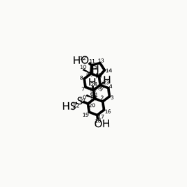 C[C@]12C(CC[C@@H]3[C@H]1CC[C@]1(C)C(O)CC[C@@H]31)CC(O)CC2SS